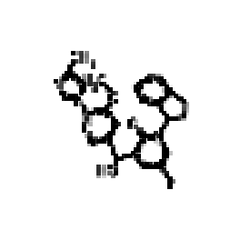 COc1cc(C(O)c2cc(F)cn(C3CCc4ccccc43)c2=O)ccc1-n1cnc(C)c1